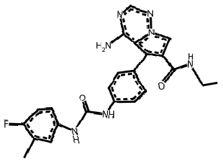 CCNC(=O)c1cn2ncnc(N)c2c1-c1ccc(NC(=O)Nc2ccc(F)c(C)c2)cc1